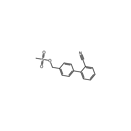 CS(=O)(=O)OCc1ccc(-c2ccccc2C#N)cc1